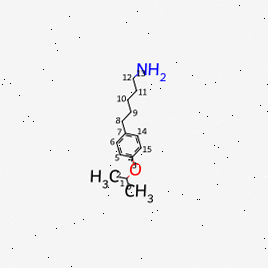 CC(C)Oc1ccc(CCCCCN)cc1